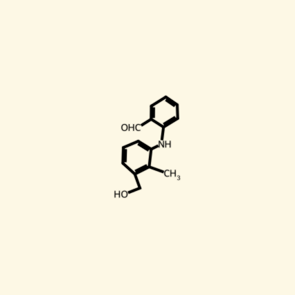 Cc1c(CO)cccc1Nc1ccccc1C=O